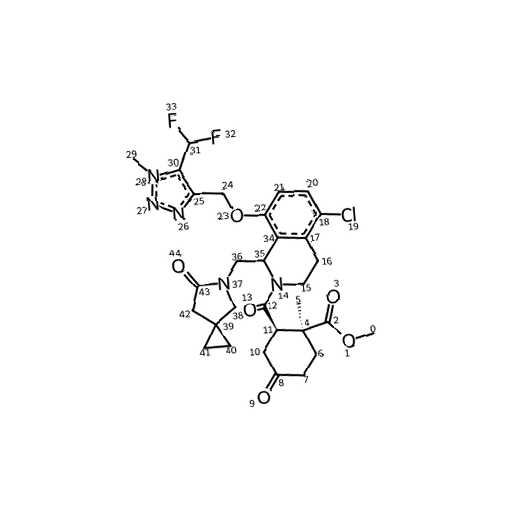 COC(=O)[C@@]1(C)CCC(=O)C[C@H]1C(=O)N1CCc2c(Cl)ccc(OCc3nnn(C)c3C(F)F)c2C1CN1CC2(CC2)CC1=O